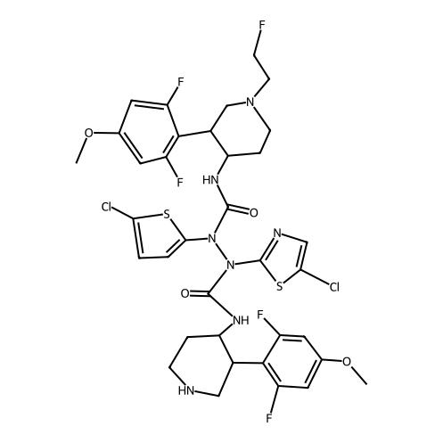 COc1cc(F)c(C2CN(CCF)CCC2NC(=O)N(c2ccc(Cl)s2)N(C(=O)NC2CCNCC2c2c(F)cc(OC)cc2F)c2ncc(Cl)s2)c(F)c1